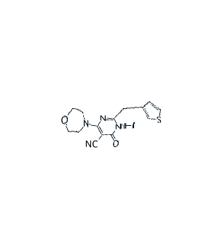 N#Cc1c(N2CCOCC2)nc(Cc2ccsc2)[nH]c1=O